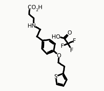 O=C(O)C(F)(F)F.O=C(O)CCNCCc1ccc(OCCc2cccs2)cc1